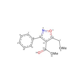 COCc1onc(-c2ccccc2)c1C(=O)OC